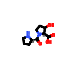 O=C(O)[C@@H]1C(O)CCN1C(=O)[C@@H]1CCCN1